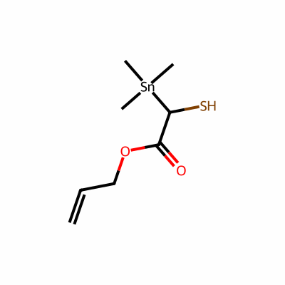 C=CCOC(=O)[CH](S)[Sn]([CH3])([CH3])[CH3]